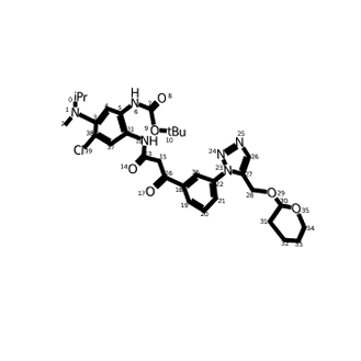 CC(C)N(C)c1cc(NC(=O)OC(C)(C)C)c(NC(=O)CC(=O)c2cccc(-n3nncc3COC3CCCCO3)c2)cc1Cl